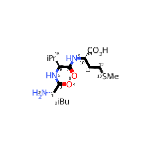 CC[C@H](C)[C@H](N)C(=O)N[C@H](C(=O)N[C@@H](CCSC)C(=O)O)C(C)C